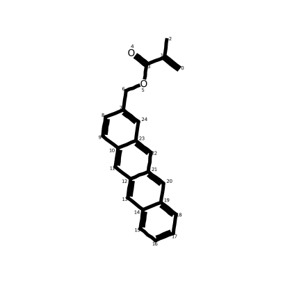 C=C(C)C(=O)OCc1ccc2cc3cc4ccccc4cc3cc2c1